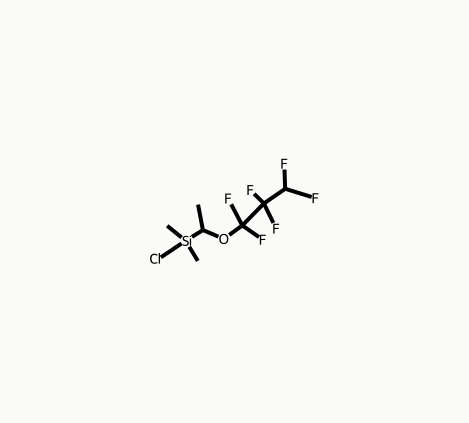 CC(OC(F)(F)C(F)(F)C(F)F)[Si](C)(C)Cl